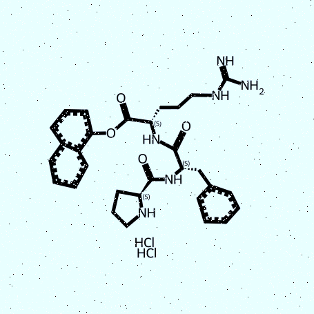 Cl.Cl.N=C(N)NCCC[C@H](NC(=O)[C@H](Cc1ccccc1)NC(=O)[C@@H]1CCCN1)C(=O)Oc1cccc2ccccc12